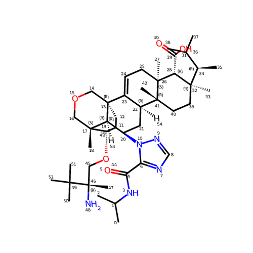 CC(C)NC(=O)c1ncnn1[C@@H]1C[C@@]23COC[C@](C)([C@@H]2CC[C@H]2C3=CC[C@@]3(C)[C@H](C(=O)O)[C@@](C)([C@H](C)C(C)C)CC[C@]23C)[C@H]1OC[C@](C)(N)C(C)(C)C